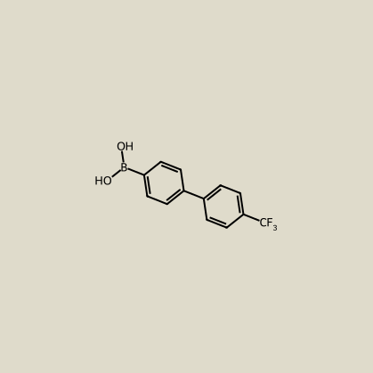 OB(O)c1ccc(-c2ccc(C(F)(F)F)cc2)cc1